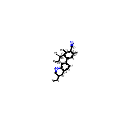 CCC1C=Nc2cc(-c3cc(C)c(C#N)c(C)c3[C@H](C)CC)ccc2C1